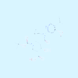 COc1cc(N(C(=O)[C@H]2CN(C(=O)OC(C)(C)C)C[C@@H](C(=O)O)[C@H]2O)C2CC2)ncc1C(C)C